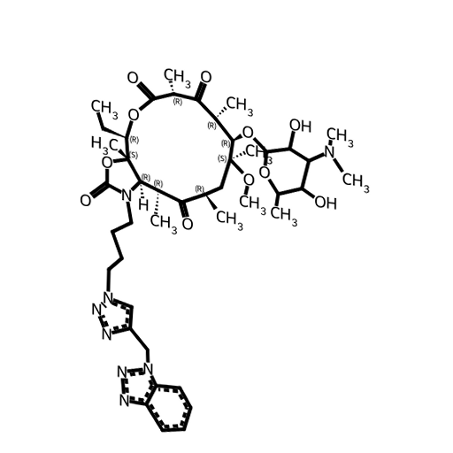 CC[C@H]1OC(=O)[C@H](C)C(=O)[C@H](C)[C@@H](OC2OC(C)C(O)C(N(C)C)C2O)[C@@](C)(OC)C[C@@H](C)C(=O)[C@H](C)[C@H]2N(CCCCn3cc(Cn4nnc5ccccc54)nn3)C(=O)O[C@]12C